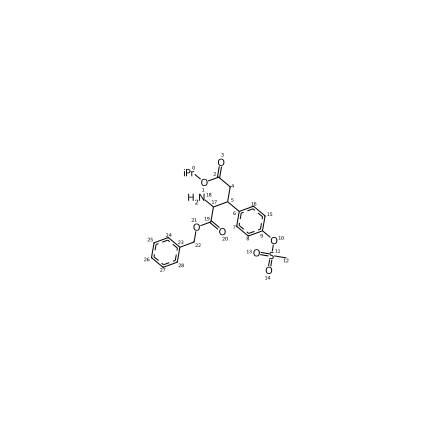 CC(C)OC(=O)CC(c1ccc(OS(C)(=O)=O)cc1)C(N)C(=O)OCc1ccccc1